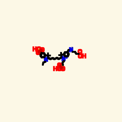 CCCN1/C(=C/C=C/C=C/C2=[N+](CCCS(=O)(=O)O)c3ccc(CN(C)CCCC(=O)O)cc3C2(C)C)C(C)(C)c2cc(S(=O)(=O)O)ccc21